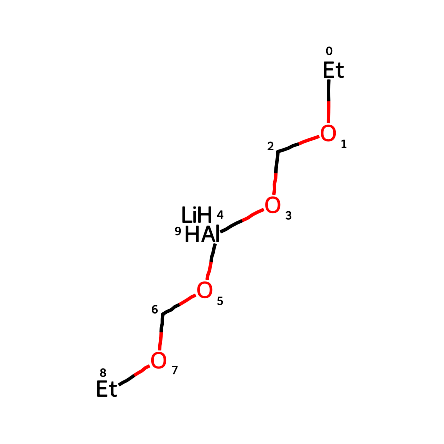 CCOC[O][AlH][O]COCC.[LiH]